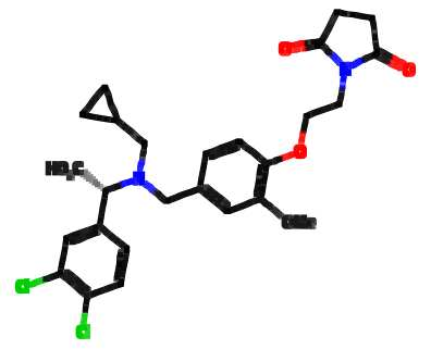 COc1cc(CN(CC2CC2)[C@@H](C(=O)O)c2ccc(Cl)c(Cl)c2)ccc1OCCN1C(=O)CCC1=O